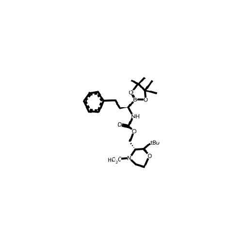 CC(C)(C)C1OCCN(C(=O)O)[C@@H]1COC(=O)N[C@@H](CCc1ccccc1)B1OC(C)(C)C(C)(C)O1